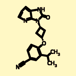 CC(C)c1cc(C#N)ccc1O[C@H]1C[C@H](n2c(=O)[nH]c3cccnc32)C1